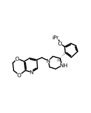 CC(C)Oc1ccccc1[C@H]1CN(Cc2cnc3c(c2)OCCO3)CCN1